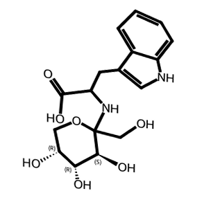 O=C(O)C(Cc1c[nH]c2ccccc12)NC1(CO)OC[C@@H](O)[C@@H](O)[C@@H]1O